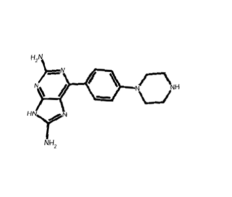 Nc1nc(-c2ccc(N3CCNCC3)cc2)c2nc(N)[nH]c2n1